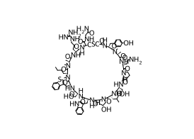 CCCC[C@H]1C(=O)N(C)[C@@H](C)C(=O)N[C@@H](CCCNC(=N)N)C(=O)NC(C(=O)NCC(N)=O)CSCC(=O)N[C@@H](Cc2ccc(O)cc2)C(=O)N(C)[C@@H](C)C(=O)N[C@@H](CC(N)=O)C(=O)N2CCC[C@H]2C(=O)N[C@@H](CO)C(=O)N[C@H](CC(C)C)C(=O)N2C[C@H](O)C[C@H]2C(=O)N[C@@H](Cc2c[nH]c3ccccc23)C(=O)N[C@@H](CO)C(=O)N[C@@H](Cc2csc3ccccc23)C(=O)N1C